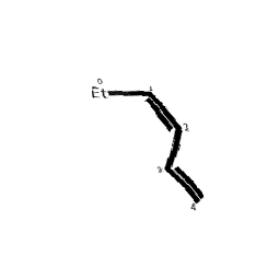 [CH2]C/C=C\C=C